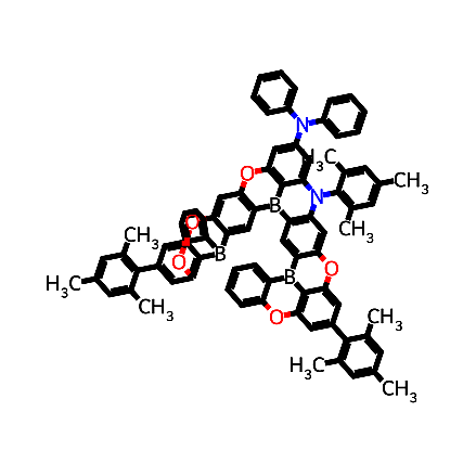 Cc1cc(C)c(-c2cc3c4c(c2)Oc2cc5c(cc2B4c2ccccc2O3)B2c3cc4c(cc3N(c3c(C)cc(C)cc3C)c3cc(N(c6ccccc6)c6ccccc6)cc(c32)O5)Oc2cc(-c3c(C)cc(C)cc3C)cc3c2B4c2ccccc2O3)c(C)c1